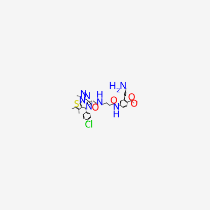 COC(=O)c1ccc(NC(=O)CCCNC(=O)C[C@@H]2N=C(c3ccc(Cl)cc3)c3c(sc(C)c3C)-n3c(C)nnc32)cc1C#CCN